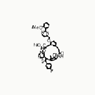 COc1ccccc1-c1nccc(COc2ccc3cc2C[C@H](C(=O)O)Oc2ncnc4sc(-c5ccc(F)cc5)c(c24)-c2ccc(c(Cl)c2C)NC(=O)CC3)n1